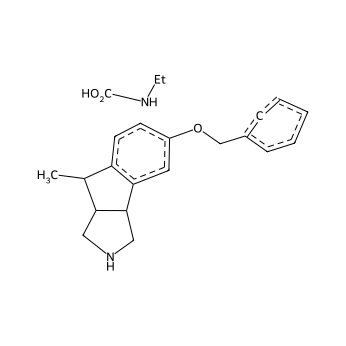 CC1c2ccc(OCc3ccccc3)cc2C2CNCC12.CCNC(=O)O